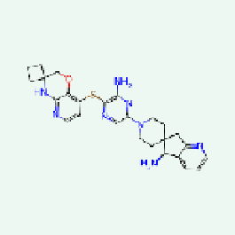 Nc1nc(N2CCC3(CC2)Cc2ncccc2[C@H]3N)cnc1Sc1ccnc2c1OCC1(CCC1)N2